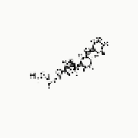 CC1CC1COC12CCC(c3cccc(Oc4ccccc4)c3)(CC1)OC2